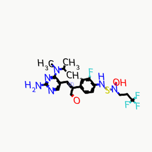 CC(C)N(C)c1nc(N)ncc1/C=C(\C=O)c1ccc(NSN(O)CCC(F)(F)F)c(F)c1